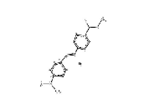 CCC(F)[n+]1ccc(/C=C/c2ccc(N(C)C)cc2)cc1.[Br-]